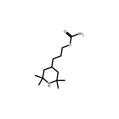 CC1(C)CC(CCCOC(N)=O)CC(C)(C)N1